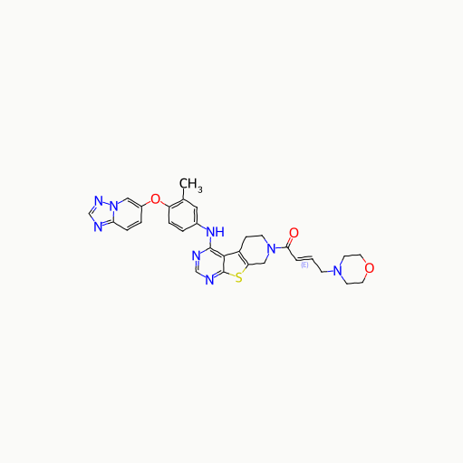 Cc1cc(Nc2ncnc3sc4c(c23)CCN(C(=O)/C=C/CN2CCOCC2)C4)ccc1Oc1ccc2ncnn2c1